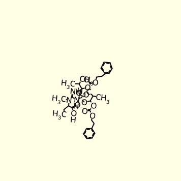 CCC(C(=O)O)N(C)C(=N)NP(=O)(OC(OC(=O)OCCc1ccccc1)C(C)C)OC(OC(=O)OCCc1ccccc1)C(C)C